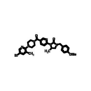 CCc1cnc(N2CCN(C(=O)c3ccc(N4C(=O)N(Cc5ccc(OC)cc5)CC4C)nc3)CC2)c(C)c1